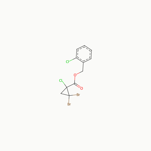 O=C(OCc1ccccc1Cl)C1(Cl)CC1(Br)Br